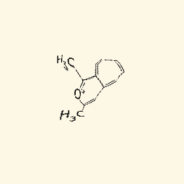 Cc1cc2ccccc2c(C)[o+]1